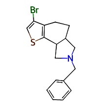 Brc1csc2c1CCC1CN(Cc3ccccc3)CC21